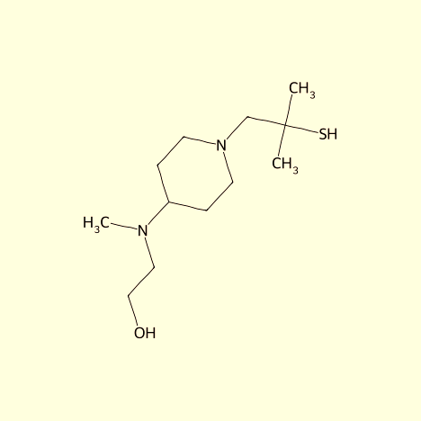 CN(CCO)C1CCN(CC(C)(C)S)CC1